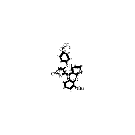 CC(C)(C)c1ccccc1Oc1ncccc1Nc1n[s+]([O-])nc1Nc1ccc(OC(F)(F)F)cc1